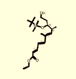 CCOC(=O)/C=C/C=C/C(C)=C/[C@H](C)[C@H](CCO)O[Si](C)(C)C(C)(C)C